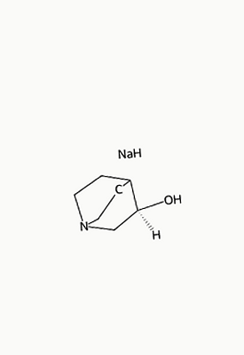 O[C@H]1CN2CCC1CC2.[NaH]